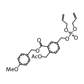 C=CCOP(=O)(OCC=C)OCc1ccc(COC(C)=O)c(C(=O)OCc2ccc(OC)cc2)c1